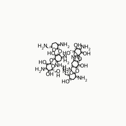 NC[C@@H]1CC[C@@H](N)[C@@H](O[C@H]2[C@H](O)[C@@H](O[C@H]3O[C@H](CO)[C@@H](O)[C@H](N)[C@H]3O)[C@H](N)C[C@@H]2N)O1.NC[C@H]1O[C@H](O[C@H]2[C@H](O)[C@@H](O[C@H]3O[C@H](CO)[C@@H](O)[C@H](N)[C@H]3O)[C@H](N)C[C@@H]2N)[C@H](N)C[C@@H]1O